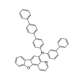 c1ccc(-c2ccc(-c3ccc(N(c4cccc(-c5ccccc5)c4)c4cc5c6ccccc6oc5c5cccnc45)cc3)cc2)cc1